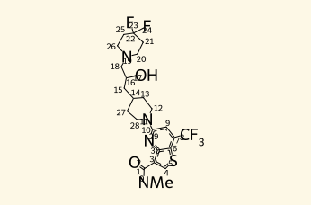 CNC(=O)c1csc2c(C(F)(F)F)cc(N3CCC(CC(O)CN4CCC(F)(F)CC4)CC3)nc12